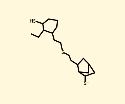 CCC1C(S)CCCC1CCSCCC1CC2CC(S)C1C2